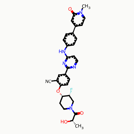 C[C@H](O)C(=O)N1CC[C@H](Oc2ccc(-c3nccc(Nc4ccc(-c5ccn(C)c(=O)c5)cc4)n3)cc2C#N)[C@H](F)C1